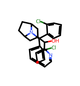 OC(c1ccccn1)C1CC2CCC(C1)N2C(c1ccccc1Cl)c1ccccc1Cl